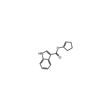 O=C(OC1=CCCC1)c1c[nH]c2ccccc12